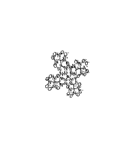 O=[N+]([O-])C(c1nn[n]([Al-]([n]2nnc(C([N+](=O)[O-])([N+](=O)[O-])[N+](=O)[O-])n2)([n]2nnc(C([N+](=O)[O-])([N+](=O)[O-])[N+](=O)[O-])n2)[n]2nnc(C([N+](=O)[O-])([N+](=O)[O-])[N+](=O)[O-])n2)n1)([N+](=O)[O-])[N+](=O)[O-]